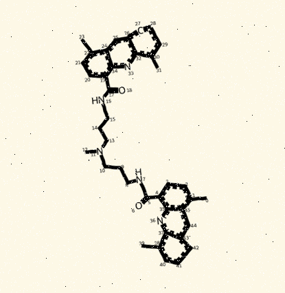 Cc1ccc(C(=O)NCCCN(C)CCCNC(=O)c2ccc(C)c3cc4cccc(C)c4nc23)c2nc3c(C)cccc3cc12